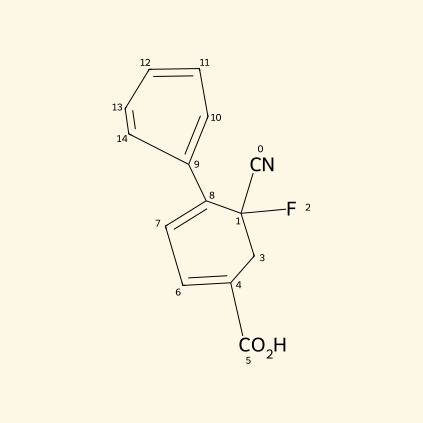 N#CC1(F)CC(C(=O)O)=CC=C1c1ccccc1